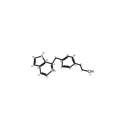 OCCc1ccc(Cc2nccc3ccsc23)cc1